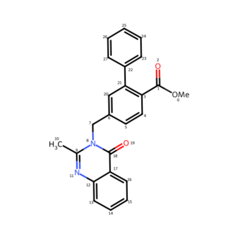 COC(=O)c1ccc(Cn2c(C)nc3ccccc3c2=O)cc1-c1ccccc1